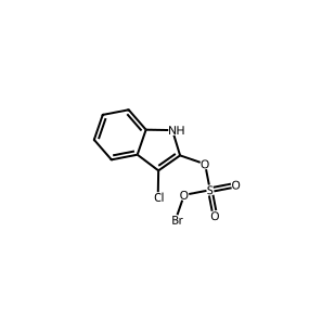 O=S(=O)(OBr)Oc1[nH]c2ccccc2c1Cl